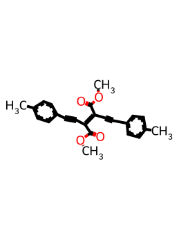 COC(=O)/C(C#Cc1ccc(C)cc1)=C(\C#Cc1ccc(C)cc1)C(=O)OC